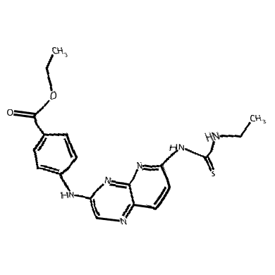 CCNC(=S)Nc1ccc2ncc(Nc3ccc(C(=O)OCC)cc3)nc2n1